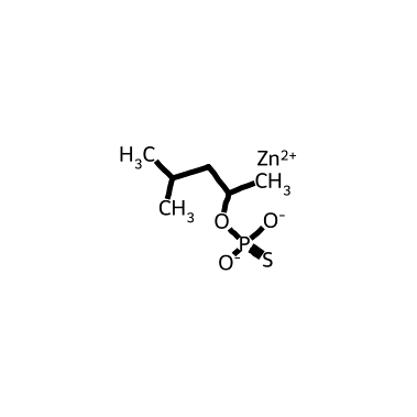 CC(C)CC(C)OP([O-])([O-])=S.[Zn+2]